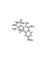 Bc1c(O)c(N2C(B)(B)C(=O)NS2(=O)=O)c(F)c2cc(OC)ccc12